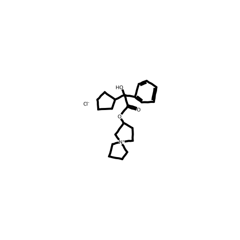 O=C(OC1CC[N+]2(CCCC2)C1)C(O)(c1ccccc1)C1CCCC1.[Cl-]